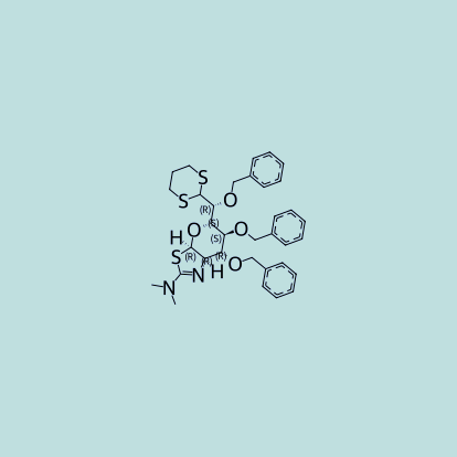 CN(C)C1=N[C@@H]2[C@@H](OCc3ccccc3)[C@H](OCc3ccccc3)[C@@H]([C@@H](OCc3ccccc3)C3SCCCS3)O[C@@H]2S1